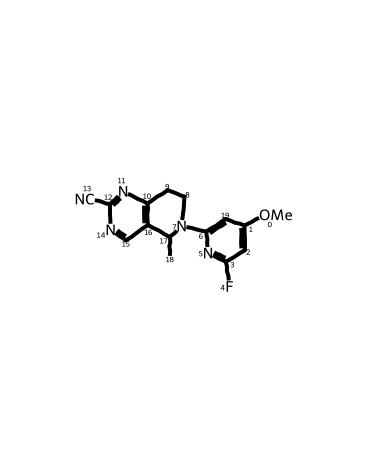 COc1cc(F)nc(N2CCc3nc(C#N)ncc3C2C)c1